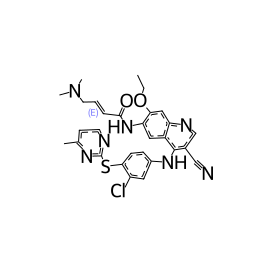 CCOc1cc2ncc(C#N)c(Nc3ccc(Sc4nccc(C)n4)c(Cl)c3)c2cc1NC(=O)/C=C/CN(C)C